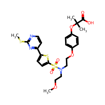 COCCN(CCOc1ccc(OC(C)(C)C(=O)O)cc1)S(=O)(=O)c1ccc(-c2ccnc(SC)n2)s1